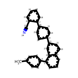 Cc1ccc(-c2cccc3ccc(-c4ccc(-c5ccccc5C#N)cc4)cc23)cc1